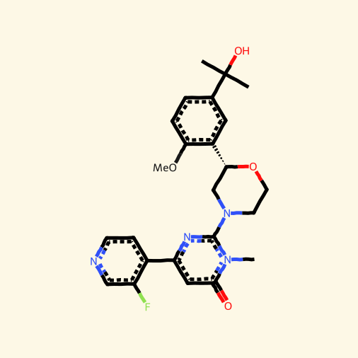 COc1ccc(C(C)(C)O)cc1[C@H]1CN(c2nc(-c3ccncc3F)cc(=O)n2C)CCO1